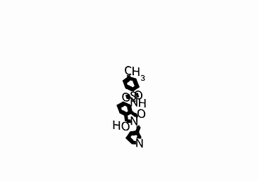 Cc1ccc(S(=O)(=O)Nc2cccc3c2C(=O)N(Cc2cccnc2)C3O)cc1